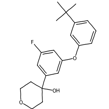 CC(C)(C)c1cccc(Oc2cc(F)cc(C3(O)CCOCC3)c2)c1